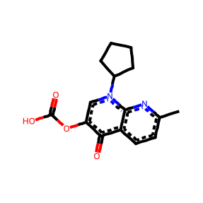 Cc1ccc2c(=O)c(OC(=O)O)cn(C3CCCC3)c2n1